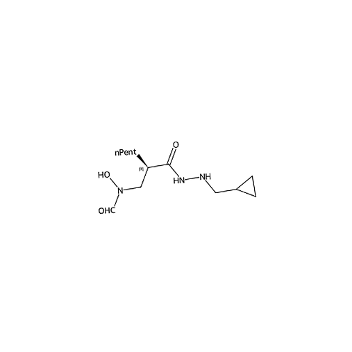 CCCCC[C@H](CN(O)C=O)C(=O)NNCC1CC1